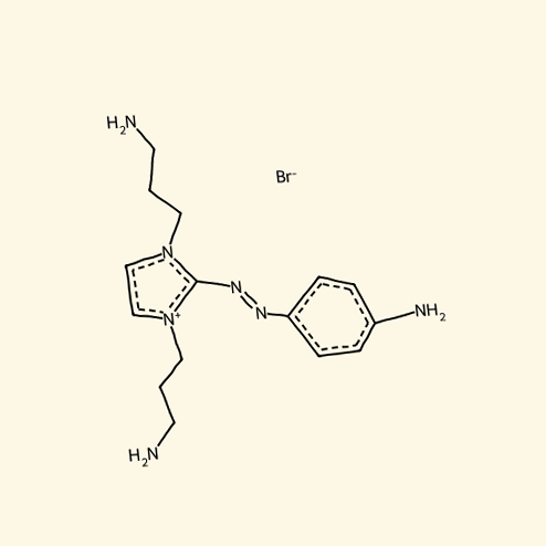 NCCCn1cc[n+](CCCN)c1N=Nc1ccc(N)cc1.[Br-]